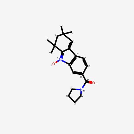 CC1(C)C=C2C(=[N+]([O-])c3cc(C(=O)N4CCCC4)ccc32)C(C)(C)C1